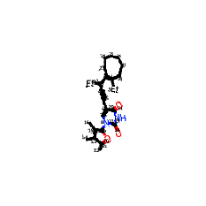 CC/C1=C(\C(C#Cc2cn(C3OC(C)C(C)C3C)c(=O)[nH]c2=O)CC)CCCCCC1